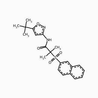 CC(C)(C)c1cc(NC(=O)C(C)(C)S(=O)(=O)c2ccc3ccccc3c2)no1